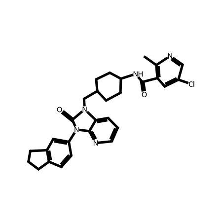 Cc1ncc(Cl)cc1C(=O)NC1CCC(Cn2c(=O)n(-c3ccc4c(c3)CCC4)c3ncccc32)CC1